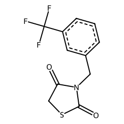 O=C1CSC(=O)N1Cc1cccc(C(F)(F)F)c1